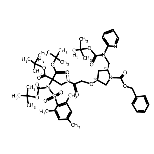 Cc1cc(C)c(S(=O)(=O)N(C(=O)OC(C)(C)C)C(CNC(=O)CO[C@H]2C[C@@H](CN(C(=O)OC(C)(C)C)c3ccccn3)N(C(=O)OCc3ccccc3)C2)(C(=O)OC(C)(C)C)C(=O)OC(C)(C)C)c(C)c1